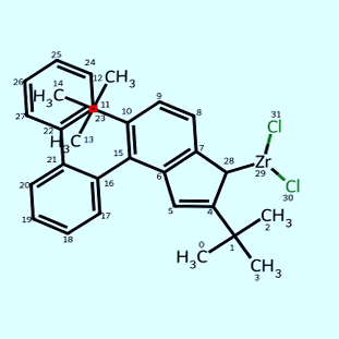 CC(C)(C)C1=Cc2c(ccc(C(C)(C)C)c2-c2ccccc2-c2ccccc2)[CH]1[Zr]([Cl])[Cl]